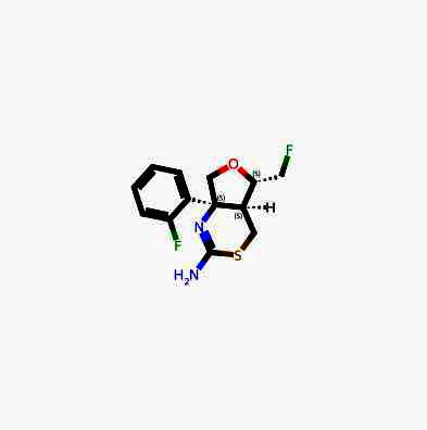 NC1=N[C@@]2(c3ccccc3F)CO[C@H](CF)[C@H]2CS1